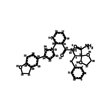 NC(=O)C1(C(Cc2ccccc2)NC(=O)c2cccnc2-n2ccc(-c3ccc4c(c3)CCO4)n2)OCCO1